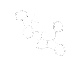 CC1(C)c2ccccc2-c2ccc3c([nH]c4c3ccc3c5ccccc5n(-c5ccccc5)c34)c21